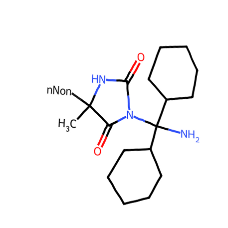 CCCCCCCCCC1(C)NC(=O)N(C(N)(C2CCCCC2)C2CCCCC2)C1=O